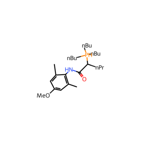 CCCC[PH](CCCC)(CCCC)C(CCC)C(=O)Nc1c(C)cc(OC)cc1C